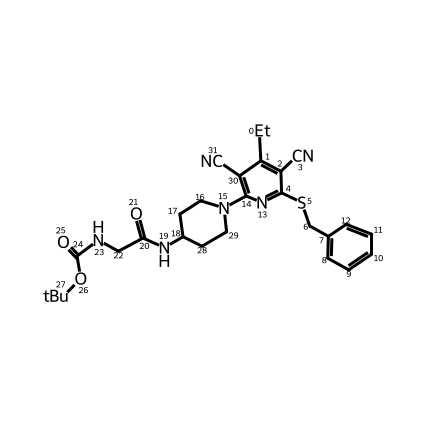 CCc1c(C#N)c(SCc2ccccc2)nc(N2CCC(NC(=O)CNC(=O)OC(C)(C)C)CC2)c1C#N